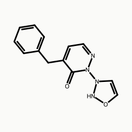 O=c1c(Cc2ccccc2)ccnn1N1C=CON1